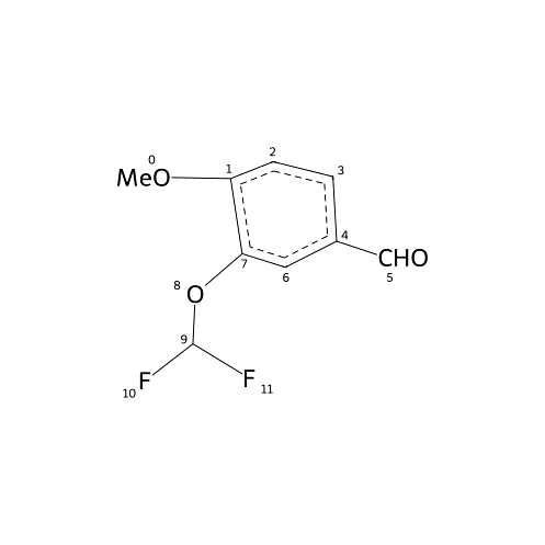 COc1ccc(C=O)cc1OC(F)F